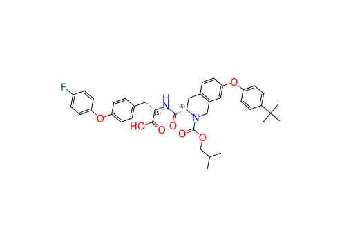 CC(C)COC(=O)N1Cc2cc(Oc3ccc(C(C)(C)C)cc3)ccc2C[C@H]1C(=O)N[C@@H](Cc1ccc(Oc2ccc(F)cc2)cc1)C(=O)O